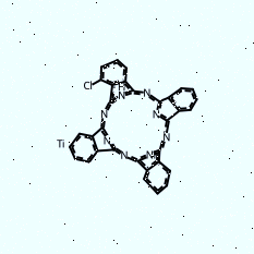 Clc1cccc2c3nc4nc(nc5[nH]c(nc6nc(nc([nH]3)c12)-c1ccccc1-6)c1ccccc51)-c1ccccc1-4.[Ti]